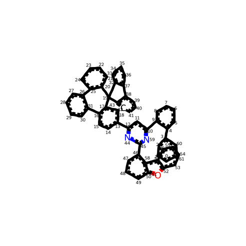 c1ccc(-c2ccccc2-c2cc(-c3ccc4c(c3)C3(c5ccccc5-c5ccccc5-4)c4ccccc4-c4ccccc43)nc(-c3cccc4oc5ccccc5c34)n2)cc1